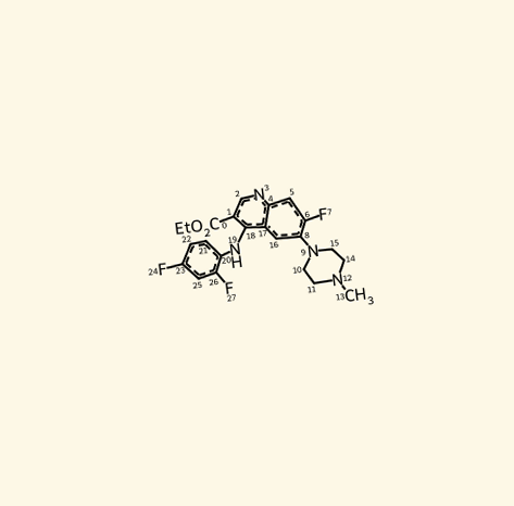 CCOC(=O)c1cnc2cc(F)c(N3CCN(C)CC3)cc2c1Nc1ccc(F)cc1F